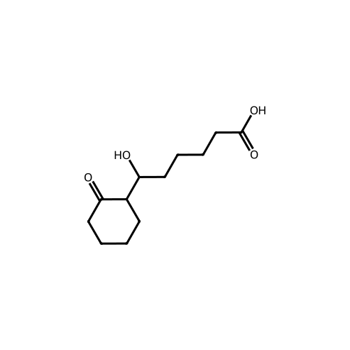 O=C(O)CCCCC(O)C1CCCCC1=O